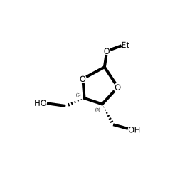 CCOC1O[C@@H](CO)[C@@H](CO)O1